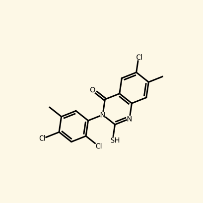 Cc1cc(-n2c(S)nc3cc(C)c(Cl)cc3c2=O)c(Cl)cc1Cl